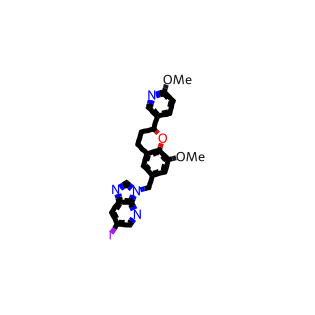 COc1ccc(C2CCc3cc(Cn4cnc5cc(I)cnc54)cc(OC)c3O2)cn1